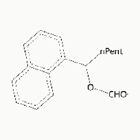 CCCCCC(O[C]=O)c1cccc2ccccc12